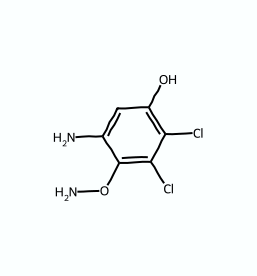 NOc1c(N)cc(O)c(Cl)c1Cl